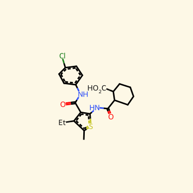 CCc1c(C)sc(NC(=O)C2CCCCC2C(=O)O)c1C(=O)Nc1ccc(Cl)cc1